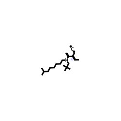 C=C=C/C(=C\C)C(=C)N(CCCCCCC(C)C)CC(C)(C)C